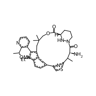 CCn1c(-c2cccnc2[C@H](C)OC)c2c3cc(ccc31)-c1csc(n1)C(C)[C@H](N)C(=O)N1CCC[C@H](N1)C(=O)OCC(C)(C)C2